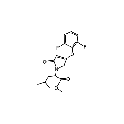 COC(=O)C(CC(C)C)N1CC(Oc2c(F)cccc2F)=CC1=O